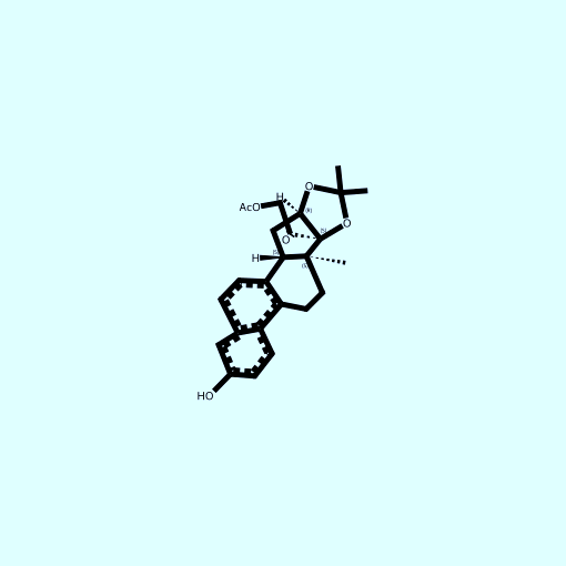 CC(=O)OCC(=O)[C@@]12OC(C)(C)O[C@@H]1C[C@H]1c3ccc4cc(O)ccc4c3CC[C@@]12C